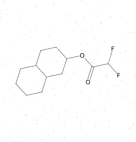 O=C(OC1CCC2CCCCC2C1)C(F)F